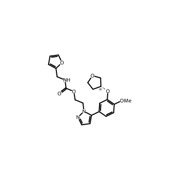 COc1ccc(-c2ccnn2CCOC(=O)NCc2ccco2)cc1O[C@@H]1CCOC1